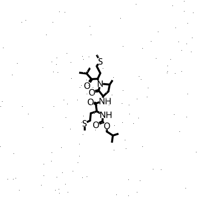 CSCCC(NC(=O)OCC(C)C)C(=O)NC1CC(C)N(C(CCSC)C(=O)C(C)C)C1=O